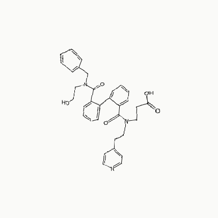 O=C(O)CCN(CCc1ccncc1)C(=O)c1ccccc1-c1ccccc1C(=O)N(CCO)Cc1ccccc1